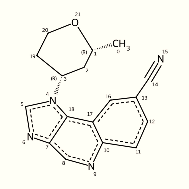 C[C@@H]1C[C@H](n2cnc3cnc4ccc(C#N)cc4c32)CCO1